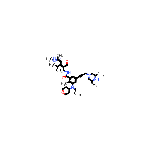 CCN(c1cc(C#CCN2CC(C)NC(C)C2)cc(C(=O)NC/C(C=O)=C(/C=C(/C)NC)C(C)C)c1C)C1CCOCC1